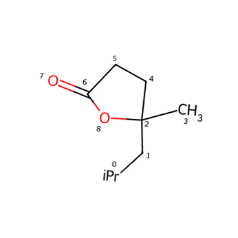 CC(C)CC1(C)CCC(=O)O1